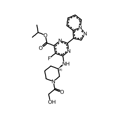 CC(C)OC(=O)c1nc(-c2cnn3ccccc23)nc(N[C@@H]2CCCN(C(=O)CO)C2)c1F